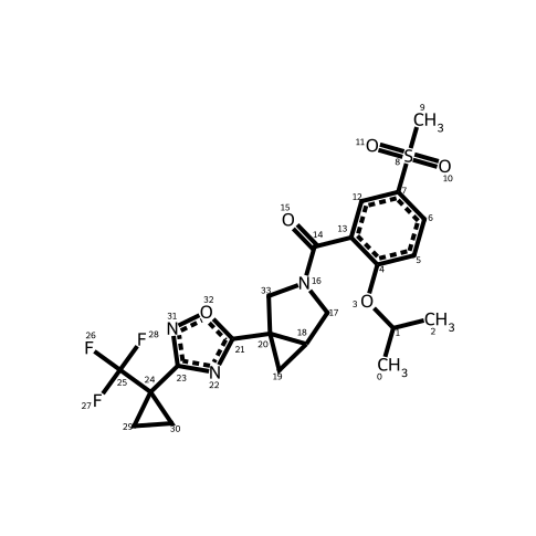 CC(C)Oc1ccc(S(C)(=O)=O)cc1C(=O)N1CC2CC2(c2nc(C3(C(F)(F)F)CC3)no2)C1